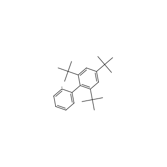 CC(C)(C)c1cc(C(C)(C)C)c(-c2[c]cccc2)c(C(C)(C)C)c1